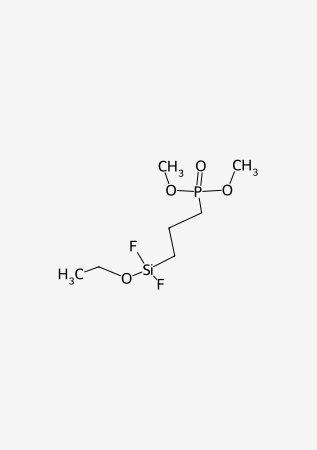 CCO[Si](F)(F)CCCP(=O)(OC)OC